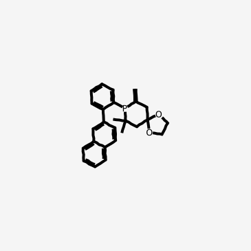 C=C1CC2(CC(C)(C)P1c1ccccc1-c1ccc3ccccc3c1)OCCO2